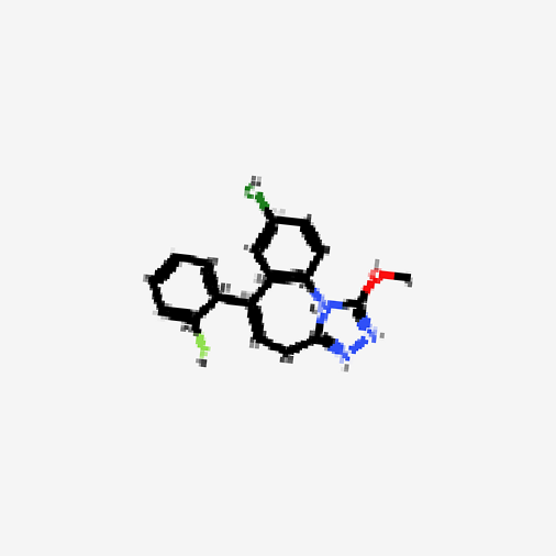 COc1nnc2n1-c1ccc(Cl)cc1C(c1ccccc1F)=CC2